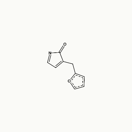 O=C1N=CC=C1Cc1ccco1